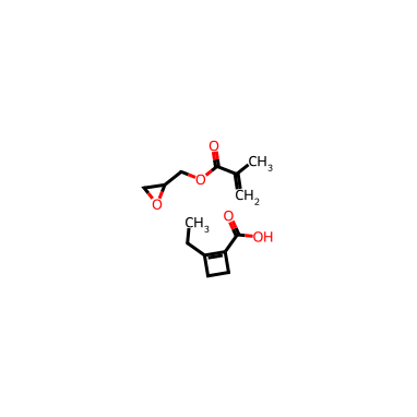 C=C(C)C(=O)OCC1CO1.CCC1=C(C(=O)O)CC1